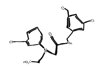 O=C(O)CN(CC(=O)Nc1cc(Cl)cc(Cl)c1)c1cccc(Cl)c1